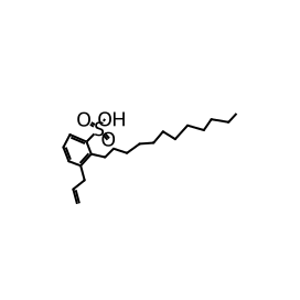 C=CCc1cccc(S(=O)(=O)O)c1CCCCCCCCCCCC